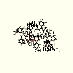 CC(=O)N[C@H](Cc1ccc2ccccc2c1)C(=O)N[C@@H](Cc1ccc(Cl)cc1)C(=O)N[C@H](Cc1cccnc1)C(=O)N[C@H](CO)C(=O)N[C@H](Cc1ccc(O)cc1)C(=O)N[C@H](CCCNC(N)=O)C(=O)N[C@@H](CC(C)C)C(=O)N[C@@H](CCCN=C(N)N)C(=O)N1CCCC1C(=O)N[C@H](C)C(N)=O